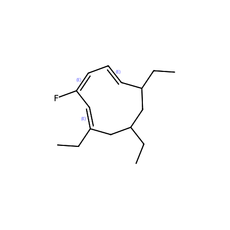 CC\C1=C/C(F)=C\C=C\C(CC)CC(CC)C1